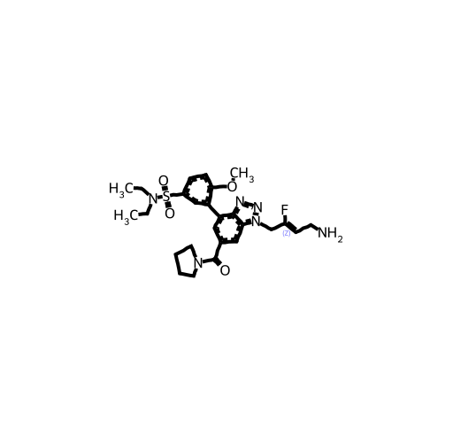 CCN(CC)S(=O)(=O)c1ccc(OC)c(-c2cc(C(=O)N3CCCC3)cc3c2nnn3C/C(F)=C/CN)c1